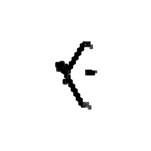 CCCCCCCCCCCC(=O)OC[C@H](COP(=O)([O-])[O-])OC(=O)CCCCCCCCCCC.[Na+].[Na+]